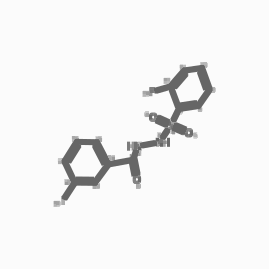 O=C(NNS(=O)(=O)c1ccccc1F)c1cccc(I)c1